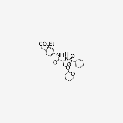 CCOC(=O)Cc1ccc(NC(=O)[C@H](COC2CCCCO2)NS(=O)(=O)c2ccccc2)cc1